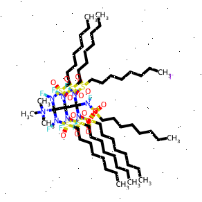 CCCCCCCCS(=O)(=O)N(F)C(N(F)S(=O)(=O)CCCCCCCC)(N(F)S(=O)(=O)CCCCCCCC)C(N(F)S(=O)(=O)CCCCCCCC)(N(F)S(=O)(=O)CCCCCCCC)C(N(F)S(=O)(=O)CCCCCCCC)(N(F)S(=O)(=O)CCCCCCCC)[N+](C)(C)C.[I-]